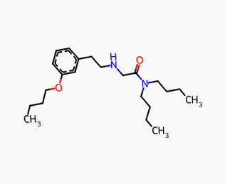 CCCCOc1cccc(CCNCC(=O)N(CCCC)CCCC)c1